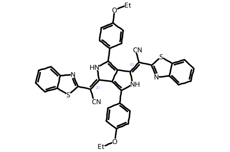 CCOc1ccc(-c2[nH]/c(=C(/C#N)c3nc4ccccc4s3)c3c(-c4ccc(OCC)cc4)[nH]/c(=C(/C#N)c4nc5ccccc5s4)c23)cc1